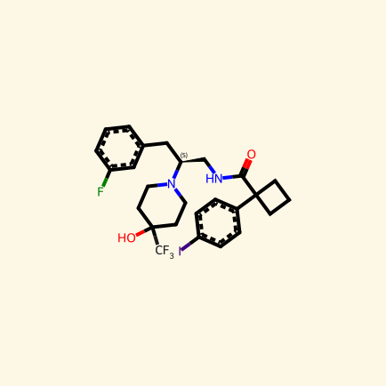 O=C(NC[C@H](Cc1cccc(F)c1)N1CCC(O)(C(F)(F)F)CC1)C1(c2ccc(I)cc2)CCC1